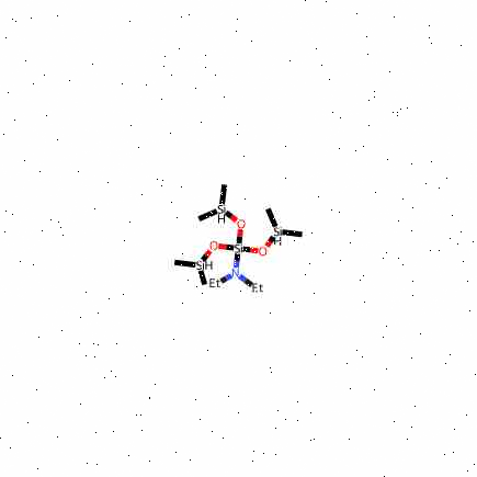 CCN(CC)[Si](O[SiH](C)C)(O[SiH](C)C)O[SiH](C)C